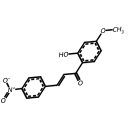 COc1ccc(C(=O)/C=C/c2ccc([N+](=O)[O-])cc2)c(O)c1